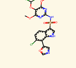 COc1nc(NS(=O)(=O)c2c[nH]c3c(-c4cnco4)c(Cl)ccc23)nc(OC)c1OC(F)F